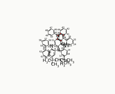 CC(C)(C)c1ccc2c(c1)B1c3cc(C(C)(C)C)ccc3N(c3ccccc3-c3ccccc3)C3(C)C=C(N(c4ccccc4)c4ccccc4)C=C(C13)N2c1ccccc1-c1ccccc1